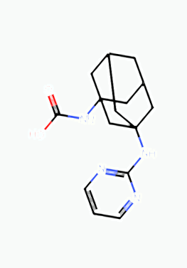 O=C(O)NC12CC3CC(C1)CC(Nc1ncccn1)(C3)C2